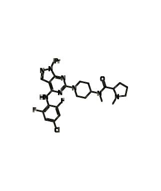 CC(C)n1ncc2c(Nc3c(F)cc(Cl)cc3F)nc(N3CCC(N(C)C(=O)C4CCCN4C)CC3)nc21